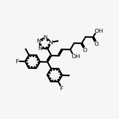 Cc1cc(C(=C(C=CC(O)CC(=O)CC(=O)O)c2nnnn2C)c2ccc(F)c(C)c2)ccc1F